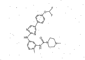 Cc1ccc(Nc2ncc(-c3ccc(OC(F)F)cc3)cn2)cc1NC(=O)N1CCN(C)CC1